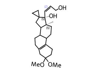 COC1(OC)CCC2=C(CCC3C2CC[C@@]2(C)C3CC3(CC3)[C@@]2(O)/C=C\CO)C1